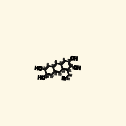 Oc1cc2cc3cc(O)c(O)c(CBr)c3cc2cc1O